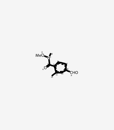 CON(C)C(=O)c1ccc(C=O)cc1C